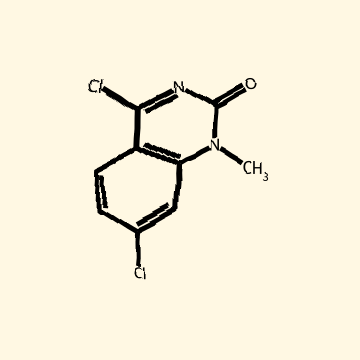 Cn1c(=O)nc(Cl)c2ccc(Cl)cc21